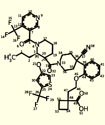 CCC[C@H]1N(C(=O)c2cnccc2C(F)(F)F)CCC[C@@]1(Oc1csc(C(F)(F)F)c1)C(=O)N1CCC(C#N)(c2ccccc2OCCC2(C(=O)O)CCC2)CC1